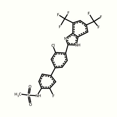 CS(=O)(=O)Nc1ccc(-c2ccc(-c3nc4c(C(F)(F)F)cc(C(F)(F)F)cc4[nH]3)c(Cl)c2)cc1F